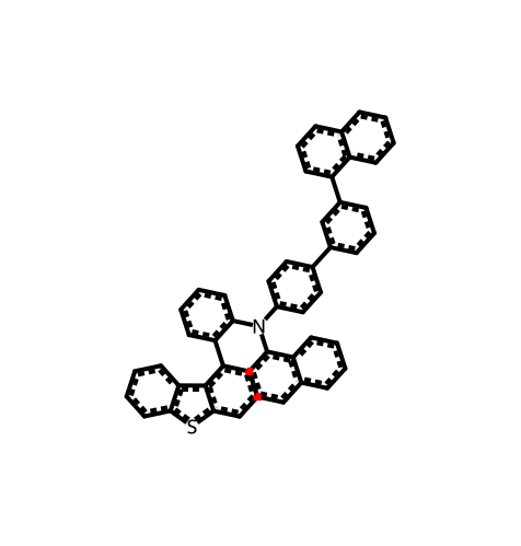 c1cc(-c2ccc(N(c3ccccc3-c3cccc4sc5ccccc5c34)c3cccc4ccccc34)cc2)cc(-c2cccc3ccccc23)c1